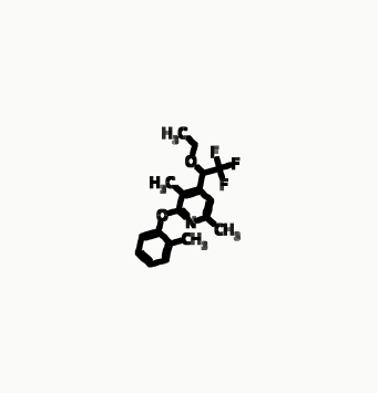 CCOC(c1cc(C)nc(Oc2ccccc2C)c1C)C(F)(F)F